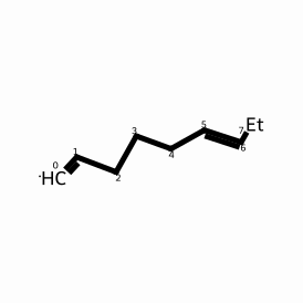 [CH]=CCCCC=CCC